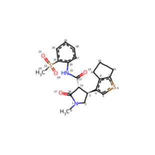 CN1C[C@H](c2csc3c2CCC3)[C@@H](C(=O)Nc2ccccc2S(C)(=O)=O)C1=O